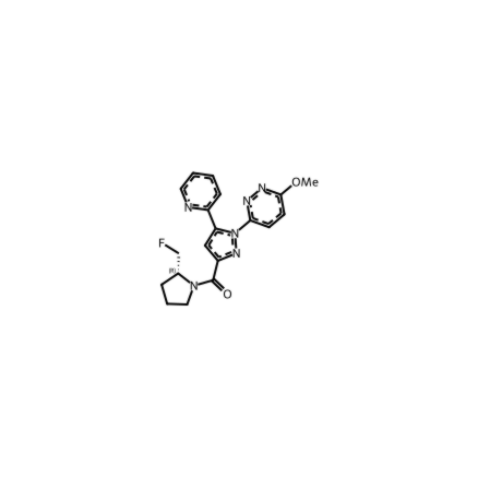 COc1ccc(-n2nc(C(=O)N3CCC[C@@H]3CF)cc2-c2ccccn2)nn1